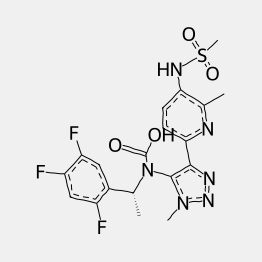 Cc1nc(-c2nnn(C)c2N(C(=O)O)[C@H](C)c2cc(F)c(F)cc2F)ccc1NS(C)(=O)=O